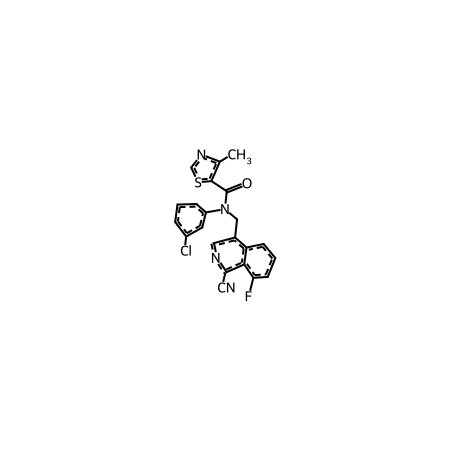 Cc1ncsc1C(=O)N(Cc1cnc(C#N)c2c(F)cccc12)c1cccc(Cl)c1